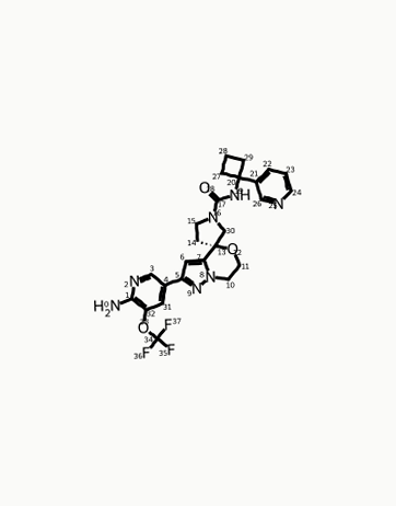 Nc1ncc(-c2cc3n(n2)CCO[C@@]32CCN(C(=O)NC3(c4cccnc4)CCC3)C2)cc1OC(F)(F)F